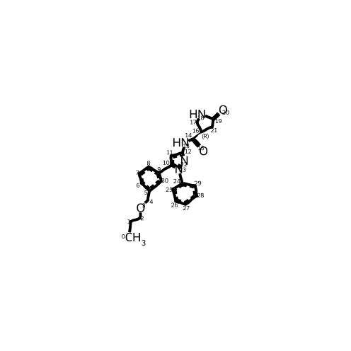 CCCOCc1cccc(-c2cc(NC(=O)[C@H]3CNC(=O)C3)nn2-c2ccccc2)c1